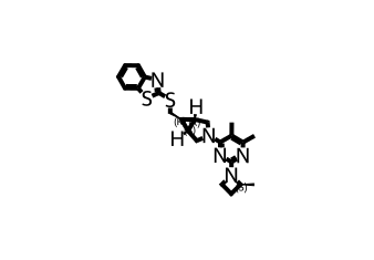 Cc1nc(N2CC[C@@H]2C)nc(N2C[C@@H]3[C@@H](CSc4nc5ccccc5s4)[C@@H]3C2)c1C